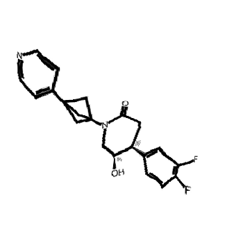 O=C1C[C@@H](c2ccc(F)c(F)c2)[C@@H](O)CN1C12CC(c3ccncc3)(C1)C2